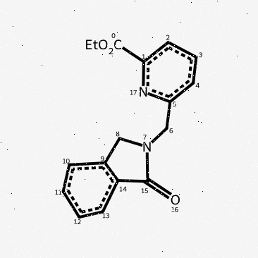 CCOC(=O)c1cccc(CN2Cc3ccccc3C2=O)n1